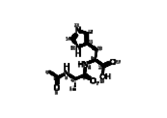 CC(=O)N[C@@H](C)C(=O)N[C@@H](Cc1cnc[nH]1)C(=O)O